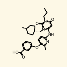 CCCn1c(=O)cc(Nc2ccc(Oc3cccc(C(=O)O)c3)c(C)n2)n(C[C@H]2CC[C@H](C)CC2)c1=O